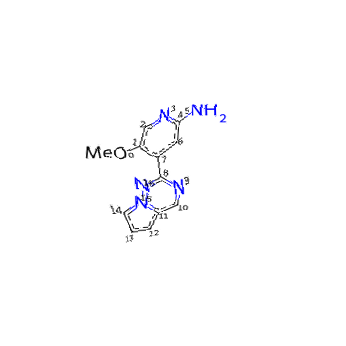 COc1cnc(N)cc1-c1ncc2cccn2n1